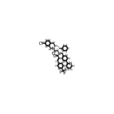 O=C([C@H](Cc1ccccc1)N(Cc1ccc(-c2ccccn2)cc1)C(=O)C=Cc1ccc(C(F)(F)F)cc1)N1CCc2ccc(Cl)cc2C1